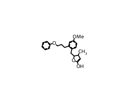 COc1ccc(CC2OC(O)=CC2C)c(CCCOc2ccccc2)c1